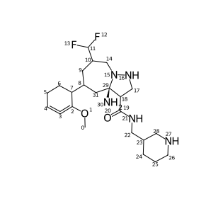 COC1=C=CCCC1C1CC(C(F)F)CN2NCC(C(=O)NCC3CCCNC3)[C@]2(N)C1